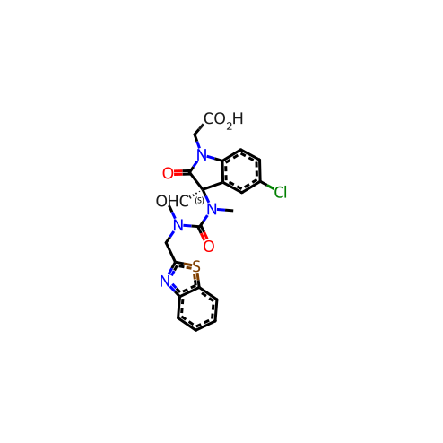 CN(Cc1nc2ccccc2s1)C(=O)N(C)[C@@]1(C=O)C(=O)N(CC(=O)O)c2ccc(Cl)cc21